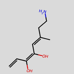 C=C/C(O)=C(O)\C=C(/C)CCN